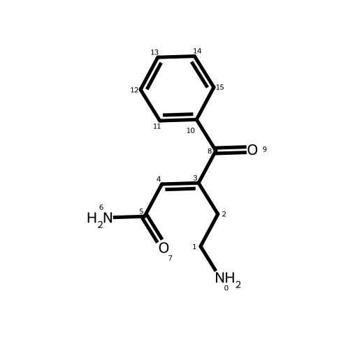 NCCC(=CC(N)=O)C(=O)c1ccccc1